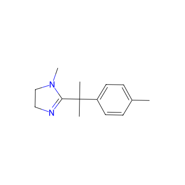 Cc1ccc(C(C)(C)C2=NCCN2C)cc1